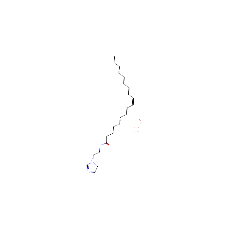 CCCCCCCC/C=C\CCCCCCCC(=O)NCCN1C=NCC1.COS(=O)(=O)O